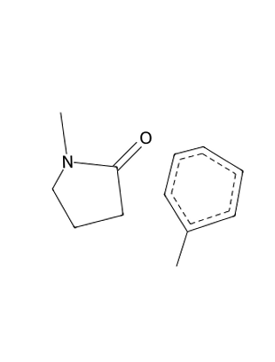 CN1CCCC1=O.Cc1ccccc1